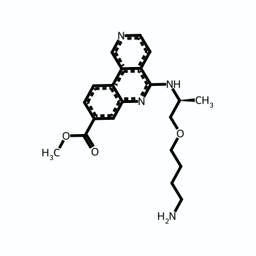 COC(=O)c1ccc2c(c1)nc(N[C@@H](C)COCCCCN)c1ccncc12